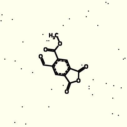 COC(=O)c1cc2c(cc1C=O)C(=O)OC2=O